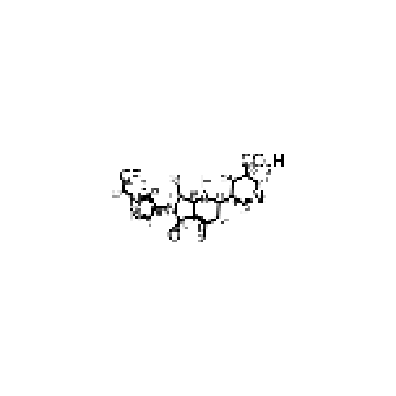 CC1=C2C(=O)N(c3cnn(CC(F)(F)F)c3)C(C)C2NC(C2C=NCC(C(=O)O)C2)C1